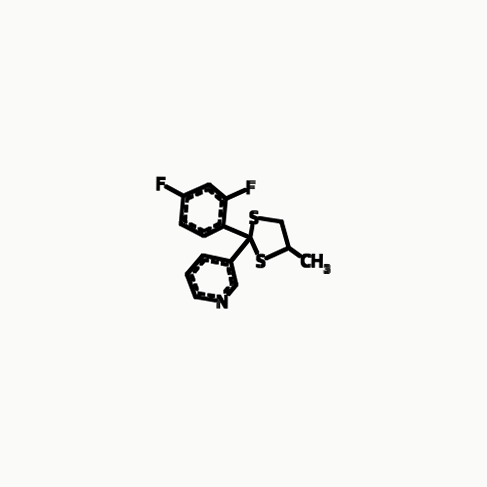 CC1CSC(c2cccnc2)(c2ccc(F)cc2F)S1